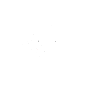 c1ccc(-c2ccc(-c3ccccc3N(c3ccc4c(c3)-c3cc(-c5ccccc5)ccc3C43C4CC5CC(C4)CC3C5)c3ccc4c(c3)oc3ccccc34)cc2)cc1